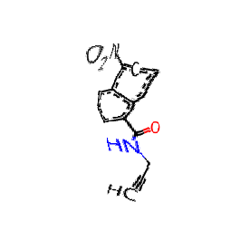 C#CCNC(=O)c1cccc2c([N+](=O)[O-])cccc12